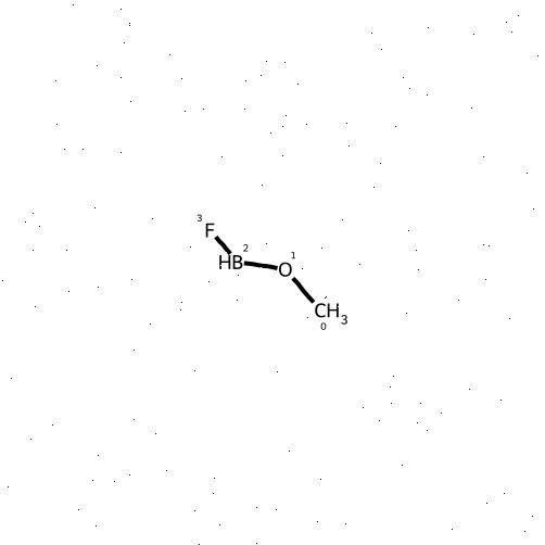 COBF